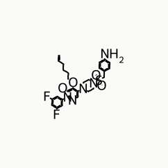 C=CCCCCOc1c(N2CCN(S(=O)(=O)Cc3ccc(N)cc3)CC2)cnn(-c2cc(F)cc(F)c2)c1=O